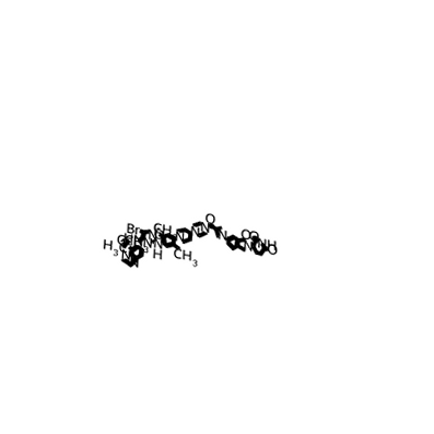 CCc1cc(Nc2ncc(Br)c(Nc3ccc4nccnc4c3P(C)(C)=O)n2)c(OC)cc1N1CCC(N2CCN(C(=O)C3CN(c4ccc5c(c4)C(=O)N(C4CCC(=O)NC4=O)C5)C3)CC2)CC1